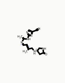 C=C(/N=C\C=C(/C)CN[C@@H]1CNC(=O)C1)Nc1ncc(C#N)s1